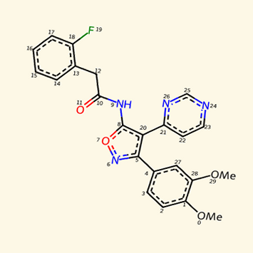 COc1ccc(-c2noc(NC(=O)Cc3ccccc3F)c2-c2ccncn2)cc1OC